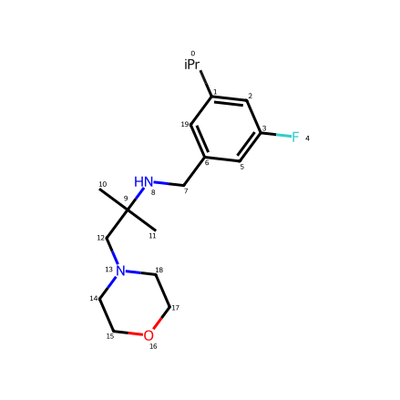 CC(C)c1cc(F)cc(CNC(C)(C)CN2CCOCC2)c1